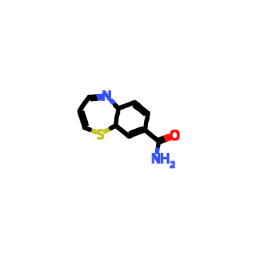 NC(=O)C1=CC2SC=CC=NC2C=C1